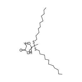 CCC(=O)O.CCCCCCCCCCCSC(C)(SCCCCCCCCCCC)C(=O)O